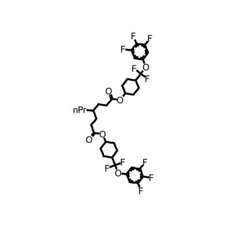 CCCC(CCC(=O)OC1CCC(C(F)(F)Oc2cc(F)c(F)c(F)c2)CC1)CCC(=O)OC1CCC(C(F)(F)Oc2cc(F)c(F)c(F)c2)CC1